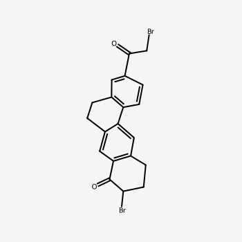 O=C(CBr)c1ccc2c(c1)CCc1cc3c(cc1-2)CCC(Br)C3=O